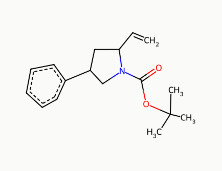 C=CC1CC(c2ccccc2)CN1C(=O)OC(C)(C)C